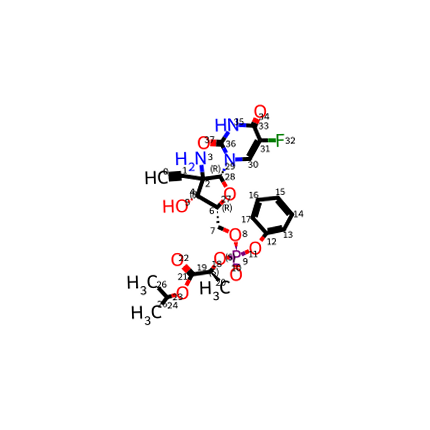 C#CC1(N)[C@@H](O)[C@@H](CO[P@](=O)(Oc2ccccc2)O[C@@H](C)C(=O)OC(C)C)O[C@H]1n1cc(F)c(=O)[nH]c1=O